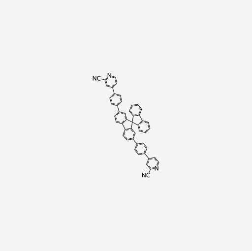 N#Cc1cc(-c2ccc(-c3ccc4c(c3)C3(c5ccccc5-c5ccccc53)c3cc(-c5ccc(-c6ccnc(C#N)c6)cc5)ccc3-4)cc2)ccn1